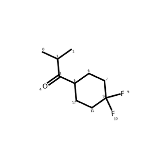 CC(C)C(=O)C1CCC(F)(F)CC1